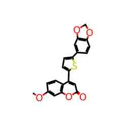 COc1ccc2c(-c3ccc(-c4ccc5c(c4)OCO5)s3)cc(=O)oc2c1